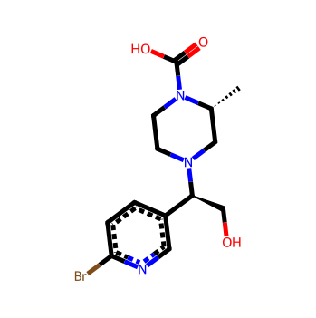 C[C@@H]1CN([C@@H](CO)c2ccc(Br)nc2)CCN1C(=O)O